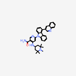 CN1C(C)(C)CC(Nc2cc(-n3c4ccccc4c4c(-c5cnc6ccccc6c5)cccc43)ncc2C(N)=O)CC1(C)C